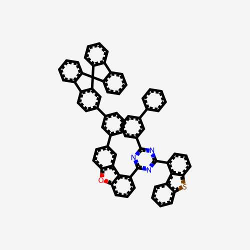 c1ccc(-c2cccc(-c3nc(-c4cccc5oc6ccc(-c7cccc(-c8ccc9c(c8)C8(c%10ccccc%10-c%10ccccc%108)c8ccccc8-9)c7)cc6c45)nc(-c4cccc5sc6ccccc6c45)n3)c2)cc1